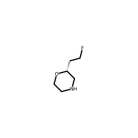 FCC[C@@H]1CNCCO1